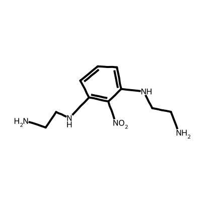 NCCNc1cccc(NCCN)c1[N+](=O)[O-]